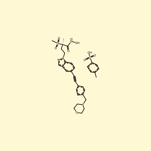 C[C@@](CCn1ncc2cc(C#Cc3ccc(CN4CCOCC4)cc3)ccc21)(C(=O)NO)S(C)(=O)=O.Cc1ccc(S(=O)(=O)O)cc1